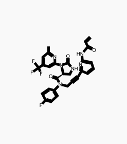 C=CC(=O)Nc1cccc(C#CCN(C(=O)[C@@H]2CNC(=O)N2c2cc(C(F)(F)F)cc(C)n2)c2ccc(F)cc2)n1